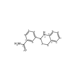 NC(=O)c1cccc(C2CCc3ccccc3N2)c1